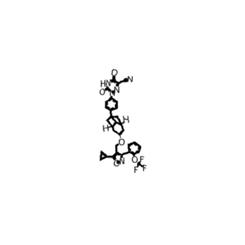 N#Cc1nn(-c2ccc(C34C[C@H]5C[C@@H](OCc6c(-c7ccccc7OC(F)(F)F)noc6C6CC6)C[C@@H](C3)C54)cc2)c(=O)[nH]c1=O